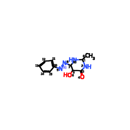 CC1NC(=O)C(O)C(/N=N/c2ccccc2)N1